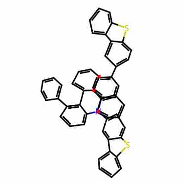 c1ccc(-c2ccccc2-c2c(-c3ccccc3)cccc2N(c2ccc(-c3ccc4sc5ccccc5c4c3)cc2)c2ccc3sc4ccccc4c3c2)cc1